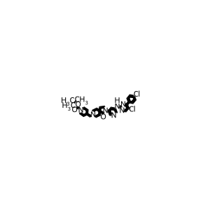 CC(C)(C)OC(=O)N1CCC(CN2CCC3(CC2)CCN(c2cncc(Nc4ncc(Cl)c(-c5ccc(Cl)cc5)n4)c2)C3=O)CC1